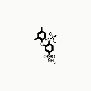 Cc1ccc(Oc2cc(S(N)(=O)=O)ccc2NS(C)(=O)=O)c(C)c1